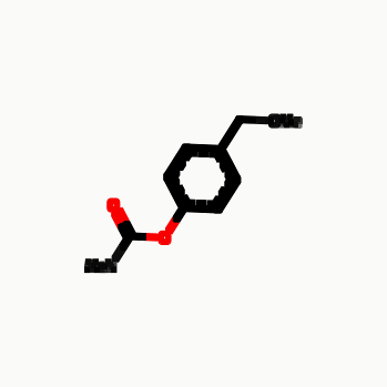 CNC(=O)Oc1ccc(COC)cc1